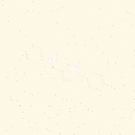 Cc1ccc(NC(=O)c2ccc(-c3ccc(F)c(F)c3)nc2)cc1C